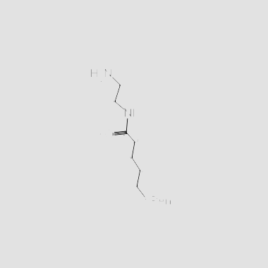 CCCCCCCCCC(=O)NCCN